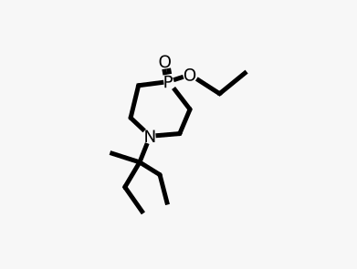 CCOP1(=O)CCN(C(C)(CC)CC)CC1